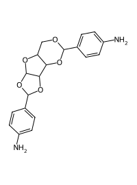 Nc1ccc(C2OCC3OC4OC(c5ccc(N)cc5)OC4C3O2)cc1